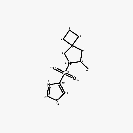 CC1CC2(CCC2)CN1S(=O)(=O)c1cscn1